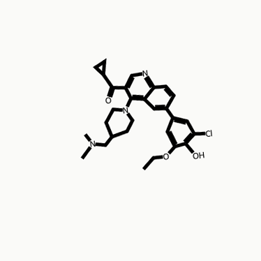 CCOc1cc(-c2ccc3ncc(C(=O)C4CC4)c(N4CCC(CN(C)C)CC4)c3c2)cc(Cl)c1O